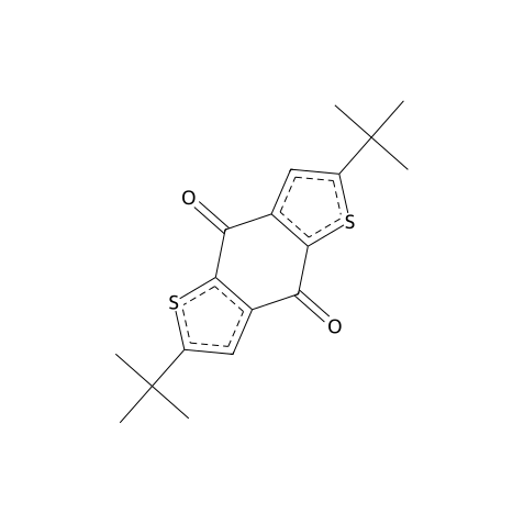 CC(C)(C)c1cc2c(s1)C(=O)c1cc(C(C)(C)C)sc1C2=O